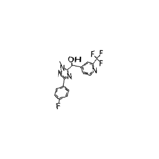 Cn1nc(-c2ccc(F)cc2)nc1C(O)c1ccnc(C(F)(F)F)c1